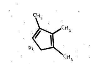 CC1=CCC(C)=C1C.[Pt]